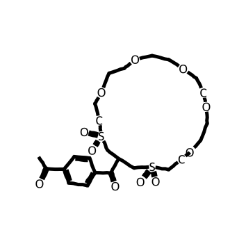 CC(=O)c1ccc(C(=O)C2CS(=O)(=O)CCOCCOCCOCCOCCOCCS(=O)(=O)C2)cc1